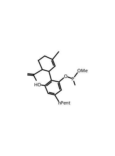 C=C(C)C1CCC(C)=CC1c1c(O)cc(CCCCC)cc1OP(C)OC